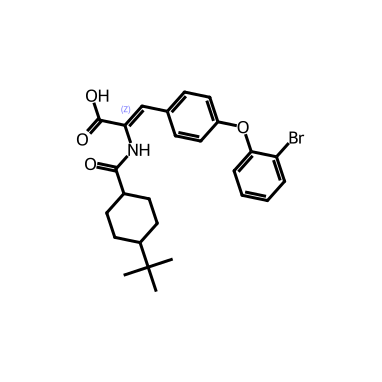 CC(C)(C)C1CCC(C(=O)N/C(=C\c2ccc(Oc3ccccc3Br)cc2)C(=O)O)CC1